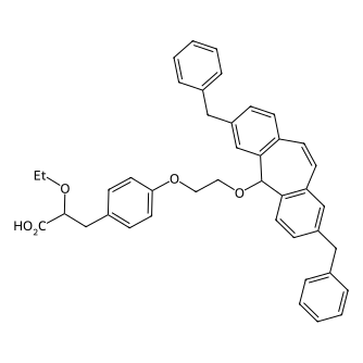 CCOC(Cc1ccc(OCCOC2c3ccc(Cc4ccccc4)cc3C=Cc3ccc(Cc4ccccc4)cc32)cc1)C(=O)O